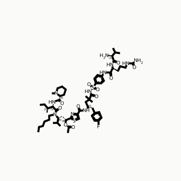 CCCCCCN(C(=O)[C@@H](NC(=O)[C@H]1CCCCN1C)[C@@H](C)CC)[C@H](C[C@@H](OC(C)=O)c1nc(C(=O)N[C@@H](Cc2ccc(F)cc2)CC(C)(C)C(=O)NS(=O)(=O)c2ccc(NC(=O)[C@H](CCCNC(N)=O)NC(=O)[C@@H](N)C(C)C)cc2)cs1)C(C)C